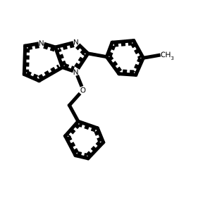 Cc1ccc(-c2nc3ncccc3n2OCc2ccccc2)cc1